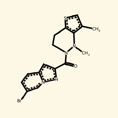 Cc1csc2c1N(C)N(C(=O)c1cc3ccc(Br)cn3n1)CC2